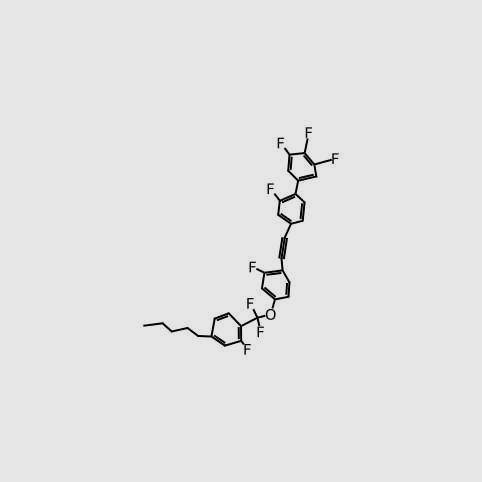 CCCCCc1ccc(C(F)(F)Oc2ccc(C#Cc3ccc(-c4cc(F)c(F)c(F)c4)c(F)c3)c(F)c2)c(F)c1